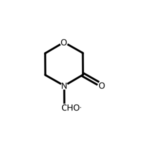 O=[C]N1CCOCC1=O